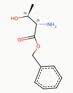 C[C@H](O)[C@H](N)C(=O)OCc1ccccc1